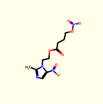 Cc1ncc([N+](=O)[O-])n1CCOC(=O)CCCO[N+](=O)[O-]